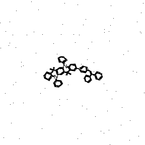 CC1(C)c2ccccc2N(c2ccccc2)c2cc3c(cc21)N(c1ccccc1)c1ccc(-c2ccc(C=C(c4ccccc4)c4ccccc4)cc2)cc1C3(C)C